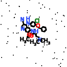 CCOc1cc2ncc(C#N)c(Nc3ccc(OCc4ccccc4)c(Cl)c3)c2cc1NC(=O)C=CCN(C)C